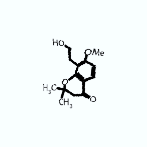 COc1ccc2c(c1CCO)OC(C)(C)CC2=O